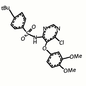 COc1ccc(Oc2c(Cl)ncnc2NS(=O)(=O)c2ccc(C(C)(C)C)cc2)cc1OC